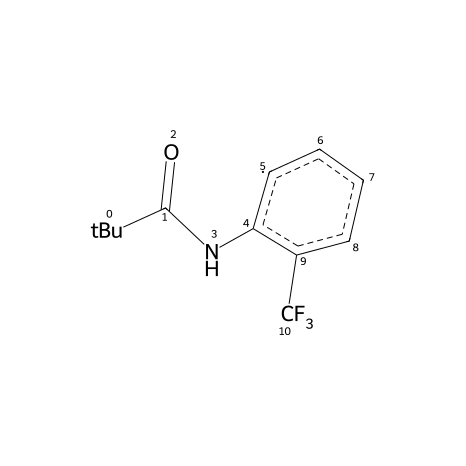 CC(C)(C)C(=O)Nc1[c]cccc1C(F)(F)F